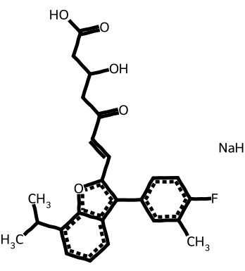 Cc1cc(-c2c(C=CC(=O)CC(O)CC(=O)O)oc3c(C(C)C)cccc23)ccc1F.[NaH]